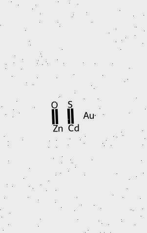 [Au].[O]=[Zn].[S]=[Cd]